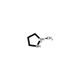 C[Si@H]1CCCN1